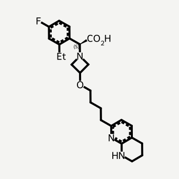 CCc1cc(F)ccc1[C@@H](C(=O)O)N1CC(OCCCCc2ccc3c(n2)NCCC3)C1